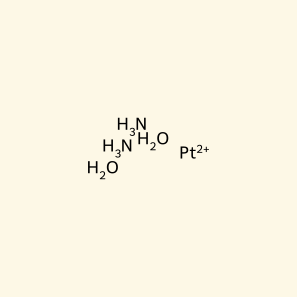 N.N.O.O.[Pt+2]